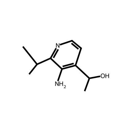 CC(C)c1nccc(C(C)O)c1N